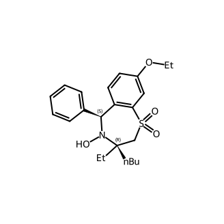 CCCC[C@]1(CC)CS(=O)(=O)c2cc(OCC)ccc2[C@H](c2ccccc2)N1O